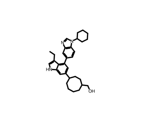 CCc1c[nH]c2cc(C3CCCCC(CO)CC3)cc(-c3ccc4c(c3)ncn4C3CCCCC3)c12